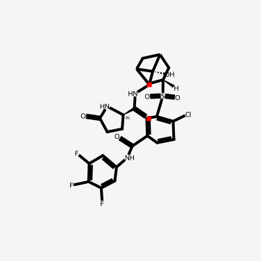 O=C1CC[C@H](C(=O)NC[C@]2(O)C3CC2C[C@@H](S(=O)(=O)c2cc(C(=O)Nc4cc(F)c(F)c(F)c4)ccc2Cl)C3)N1